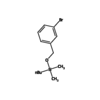 CCCC[Si](C)(C)OCc1cccc(Br)c1